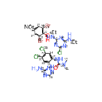 CCNc1nc(Cl)nc(NCC)n1.CN(C)C(=O)Nc1ccc(Cl)c(Cl)c1.N#Cc1cc(Br)c(O)c(Br)c1.Nc1nc[nH]n1